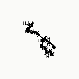 COc1ncc(-c2ccc3nccc(-c4ccc(COC(=O)OCCSSCC(NC(=O)CCc5cccc6c5CN(C(=O)C[C@@H]5C[C@@H](C(=O)N7CC(F)(F)C[C@H]7C)NC5=O)C6)C(=O)NCCNC(=O)CCCc5ccc(I)cc5)nc4)c3c2)cc1N